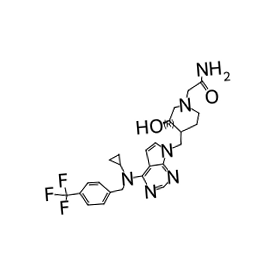 NC(=O)CN1CCC(Cn2ccc3c(N(Cc4ccc(C(F)(F)F)cc4)C4CC4)ncnc32)[C@@H](O)C1